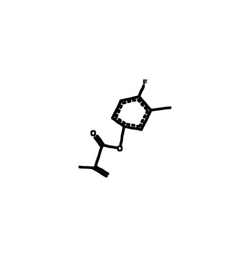 C=C(C)C(=O)Oc1ccc(F)c(C)c1